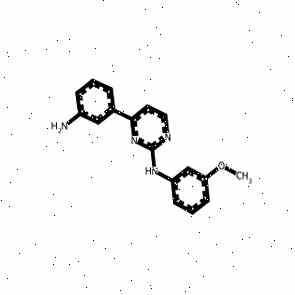 COc1cccc(Nc2nccc(-c3cccc(N)c3)n2)c1